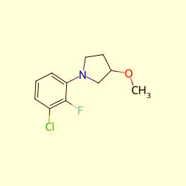 COC1CCN(c2cccc(Cl)c2F)C1